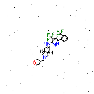 FC(F)(F)c1ccccc1-c1cc(C(F)(F)F)c(N[C@H]2C[C@@H]3CN(CC4CCOCC4)C[C@@H]3C2)nn1